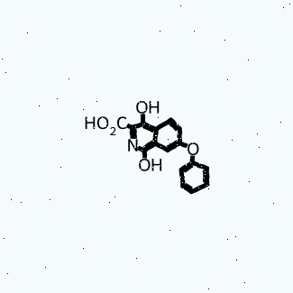 O=C(O)c1nc(O)c2cc(Oc3ccccc3)ccc2c1O